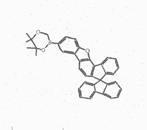 CC1(C)OCB(c2ccc3oc4c5c(ccc4c3c2)C2(c3ccccc3-c3ccccc32)c2ccccc2-5)OC1(C)C